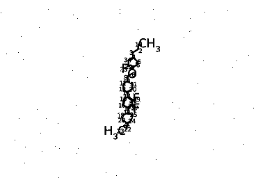 CCCCc1ccc(OCC2CCC(c3ccc(C4CCC(CC)CC4)c(F)c3F)CC2)c(F)c1